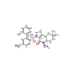 Cc1ccc(S(=O)(=O)N2CCC=C2C(=O)N(C)C2CCC(F)(F)CC2)c(-c2ccccc2F)c1